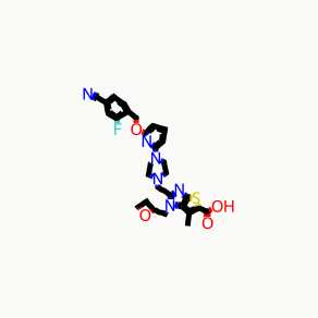 Cc1c(C(=O)O)sc2nc(CN3CCN(c4cccc(OCc5ccc(C#N)cc5F)n4)CC3)n(CC3CCO3)c12